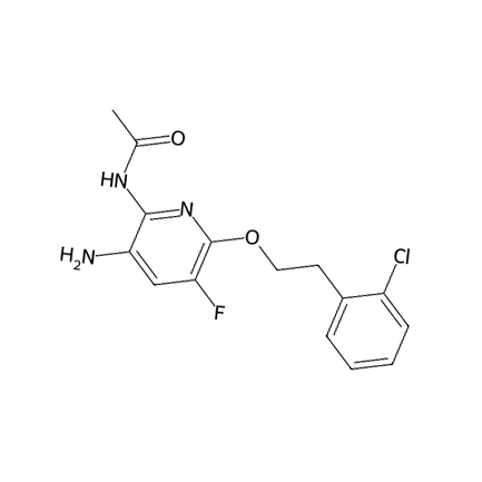 CC(=O)Nc1nc(OCCc2ccccc2Cl)c(F)cc1N